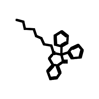 CCCCCCCCN1Cc2ccccc2NC1(c1ccccc1)c1ccccc1